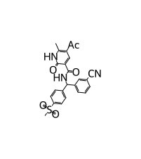 CC(=O)c1cc(C(=O)NC(c2ccc(S(C)(=O)=O)cc2)c2cccc(C#N)c2)c(=O)[nH]c1C